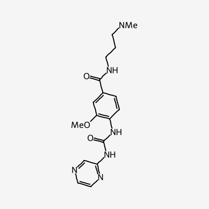 CNCCCNC(=O)c1ccc(NC(=O)Nc2cnccn2)c(OC)c1